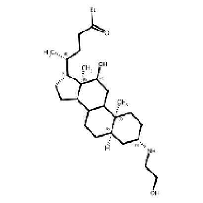 CCC(=O)CC[C@@H](C)[C@H]1CCC2C3CC[C@@H]4C[C@@H](NCCO)CC[C@]4(C)C3C[C@H](O)[C@@]21C